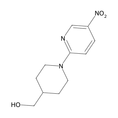 O=[N+]([O-])c1ccc(N2CCC(CO)CC2)nc1